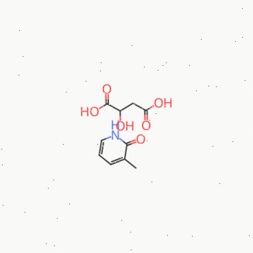 Cc1ccc[nH]c1=O.O=C(O)CC(O)C(=O)O